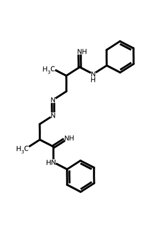 CC(CN=NCC(C)C(=N)NC1C=CC=CC1)C(=N)Nc1ccccc1